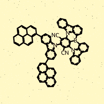 N#Cc1c(-n2c3ccc(C4=C5C=CC6=C7C(=CC=C(C=C4)C57)CC=C6)cc3c3cc(-c4ccc5ccc6cccc7ccc4c5c67)ccc32)c(C#N)c2c3c1-n1c4ccccc4c4cccc(c41)B3c1cccc3c4ccccc4n-2c13